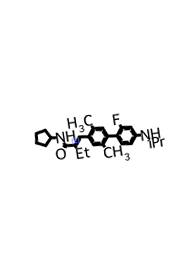 CC/C(=C\c1cc(C)c(-c2ccc(NC(C)C)cc2F)cc1C)C(=O)NC1CCCC1